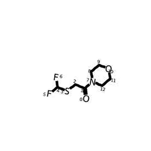 O=C(CSC(F)F)N1CCOCC1